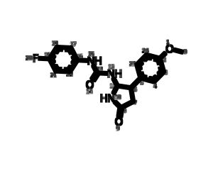 COc1ccc(C2CC(=O)NC2NC(=O)Nc2ccc(F)cc2)cc1